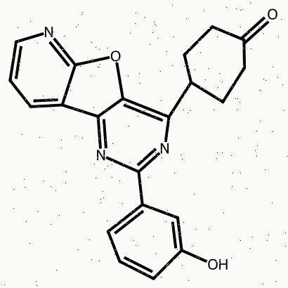 O=C1CCC(c2nc(-c3cccc(O)c3)nc3c2oc2ncccc23)CC1